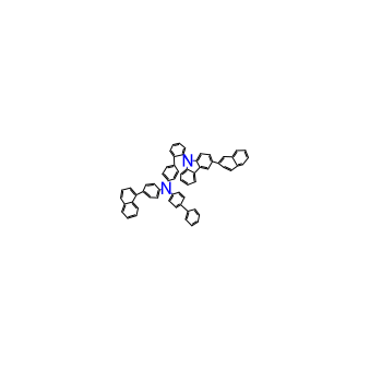 c1ccc(-c2ccc(N(c3ccc(-c4ccccc4-n4c5ccccc5c5cc(-c6ccc7ccccc7c6)ccc54)cc3)c3ccc(-c4cccc5ccccc45)cc3)cc2)cc1